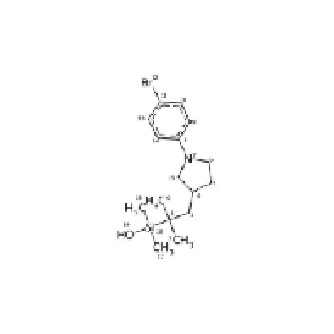 CC(C)(CC1CCN(c2ccc(Br)cc2)C1)[Si](C)(C)O